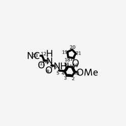 COc1ccc(CNC(=O)NC(=O)CC#N)cc1OC1CCCC1